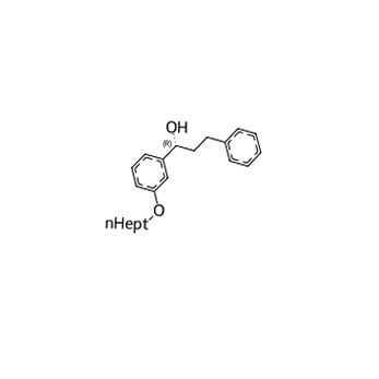 CCCCCCCOc1cccc([C@H](O)CCc2ccccc2)c1